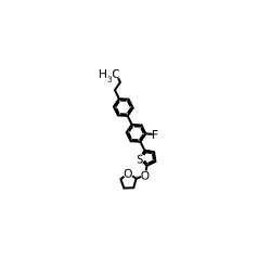 CCCc1ccc(-c2ccc(-c3ccc(OC4CCCO4)s3)c(F)c2)cc1